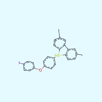 Cc1ccc2c(c1)-c1cc(C)ccc1[SH]2c1ccc(Oc2ccc(I)cc2)cc1